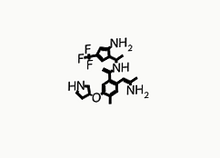 C=C(NC(C)C1C=C(C(F)(F)F)C=C1N)c1cc(O[C@H]2CCNC2)c(C)cc1/C=C(/C)N